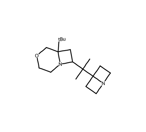 CC(C)(C)C12COCCN1C(C(C)(C)C13CCN1CC3)C2